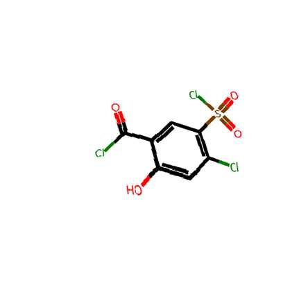 O=C(Cl)c1cc(S(=O)(=O)Cl)c(Cl)cc1O